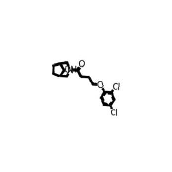 O=C(CCCOc1ccc(Cl)cc1Cl)N1CC2CCC(C1)C2O